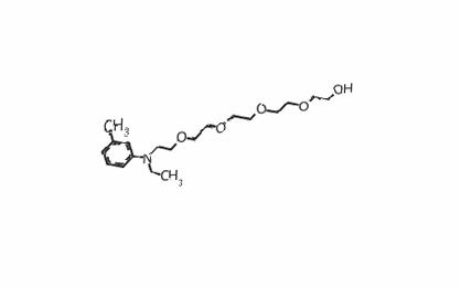 CCN(CCOCCOCCOCCOCCO)c1cccc(C)c1